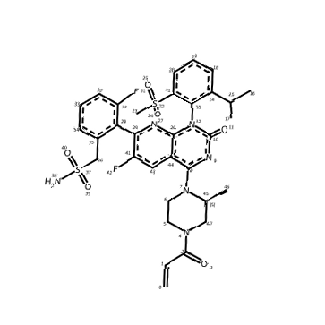 C=CC(=O)N1CCN(c2nc(=O)n(-c3c(C(C)C)cccc3S(C)(=O)=O)c3nc(-c4c(F)cccc4CS(N)(=O)=O)c(F)cc23)[C@@H](C)C1